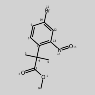 COC(=O)C(C)(C)c1ccc(Br)cc1N=O